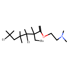 C=C(OCCN(C)C)C(C)(CC(C)(C)C)C(C)(CC)C(C)(C)CC(C)(C)CC